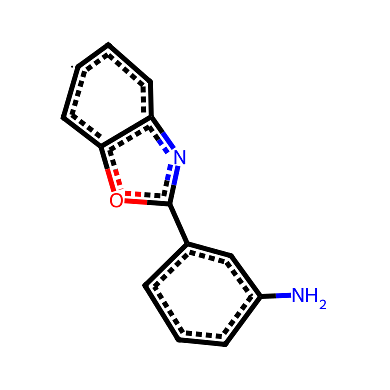 Nc1cccc(-c2nc3cc[c]cc3o2)c1